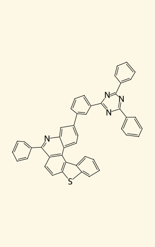 c1ccc(-c2nc(-c3ccccc3)nc(-c3cccc(-c4ccc5c(c4)nc(-c4ccccc4)c4ccc6sc7ccccc7c6c45)c3)n2)cc1